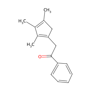 CC1=C(C)C(C)=C(CC(=O)c2ccccc2)C1